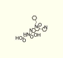 O=C(O)CCNC(=O)c1ncc2c(cc(-c3cccnc3)c(=O)n2CCc2ccccc2)c1O